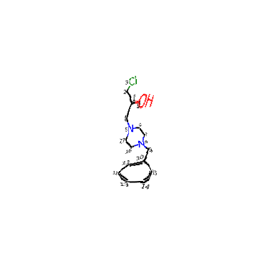 OC(CCl)CN1CCN(Cc2ccccc2)CC1